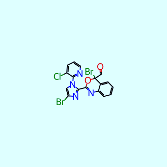 O=CC1(Br)OC(c2nc(Br)cn2-c2ncccc2Cl)=Nc2ccccc21